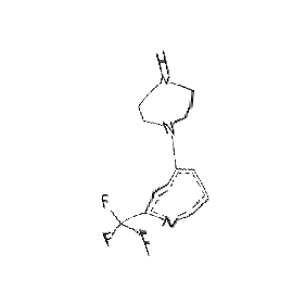 FC(F)(F)c1cc(N2CCNCC2)ccn1